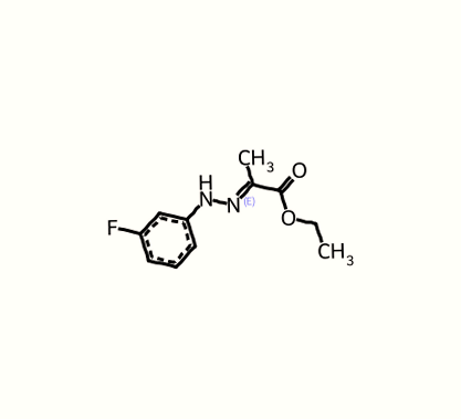 CCOC(=O)/C(C)=N/Nc1cccc(F)c1